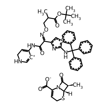 CC(CON=C(C(=O)NC1=CCNC=[C+]1)c1csc(NC(c2ccccc2)(c2ccccc2)c2ccccc2)n1)C(=O)OC(C)(C)C.C[C@@H]1C(=O)N2C(C(=O)[O-])=CCS[C@@H]12